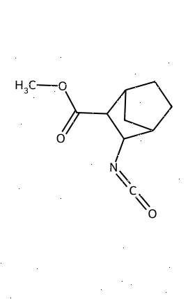 COC(=O)C1C2CCC(C2)C1N=C=O